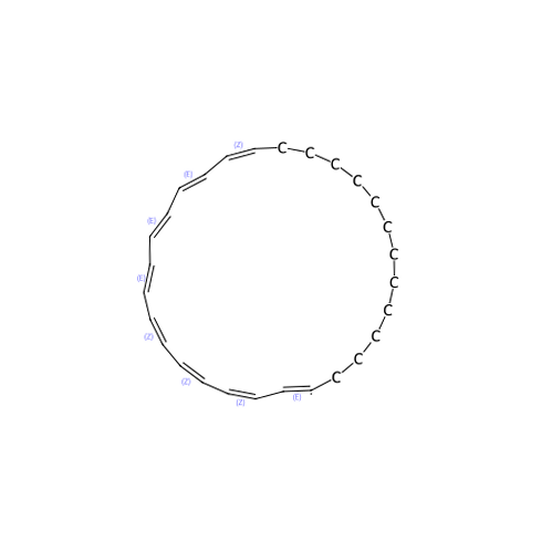 [C]1=C/C=C\C=C/C=C\C=C\C=C\C=C\C=C/CCCCCCCCCCCC/1